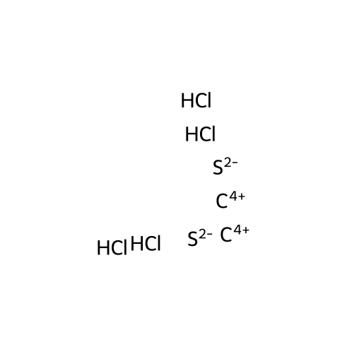 Cl.Cl.Cl.Cl.[C+4].[C+4].[S-2].[S-2]